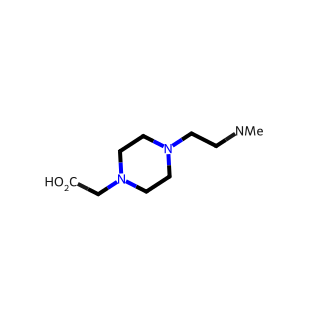 CNCCN1CCN(CC(=O)O)CC1